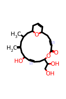 C=C1CC(O)/C=C\CC(C(O)CO)OC(=O)/C=C\CC2C=CCC(CC(C)C1)O2